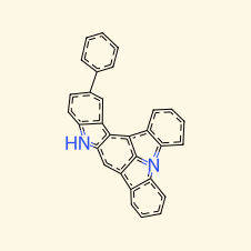 c1ccc(-c2ccc3[nH]c4cc5c6ccccc6n6c7ccccc7c(c4c3c2)c56)cc1